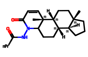 CCCC(=O)NN1C(=O)C=C[C@@]2(C)C1CC[C@@H]1[C@H]2CC[C@]2(C)CCC[C@@H]12